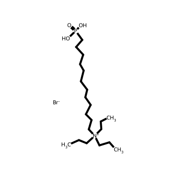 CCC[N+](CCC)(CCC)CCCCCCCCCCCCP(=O)(O)O.[Br-]